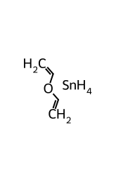 C=COC=C.[SnH4]